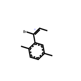 C/C=C(/Br)c1cc(C)ccc1C